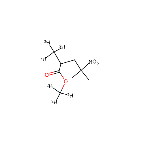 [2H]C([2H])([2H])OC(=O)C(CC(C)(C)[N+](=O)[O-])C([2H])([2H])[2H]